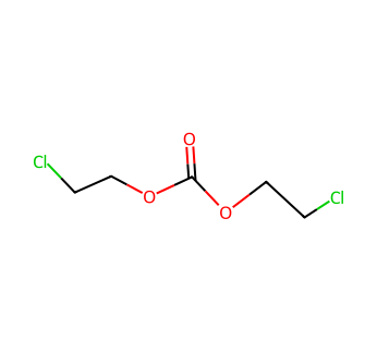 O=C(OCCCl)OCCCl